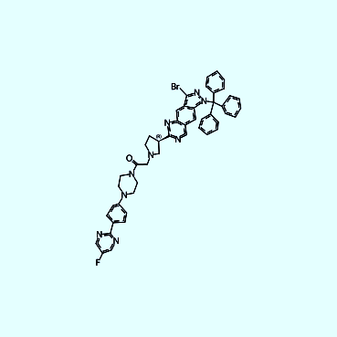 O=C(CN1CC[C@@H](c2ncc3cc4c(cc3n2)c(Br)nn4C(c2ccccc2)(c2ccccc2)c2ccccc2)C1)N1CCN(c2ccc(-c3ncc(F)cn3)cc2)CC1